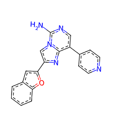 Nc1ncc(-c2ccncc2)c2nc(-c3cc4ccccc4o3)cn12